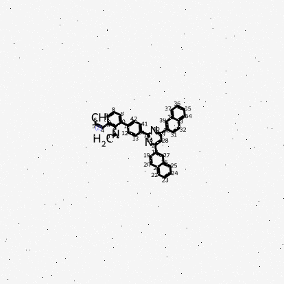 C=Nc1c(/C=C\C)cccc1-c1ccc(-c2nc(-c3ccc4ccccc4c3)cc(-c3ccc4ccccc4c3)n2)cc1